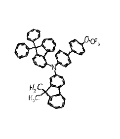 CC1(C)c2ccccc2-c2ccc(N(c3ccc(-c4ccc(OC(F)(F)F)cc4)cc3)c3cccc4c3-c3ccccc3C4(c3ccccc3)c3ccccc3)cc21